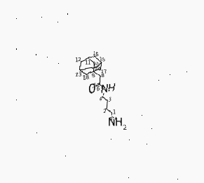 NCCCCNC(=O)CC12CC3CC(CC(C3)C1)C2